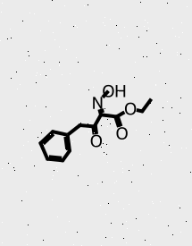 CCOC(=O)C(=NO)C(=O)Cc1ccccc1